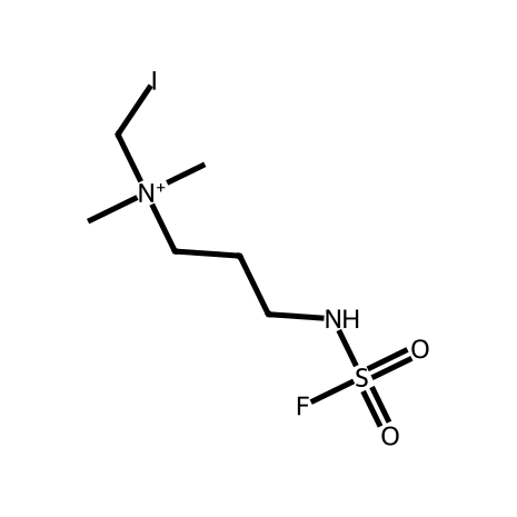 C[N+](C)(CI)CCCNS(=O)(=O)F